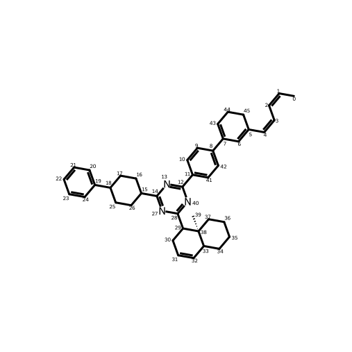 C/C=C\C=C/C1=CC(c2ccc(-c3nc(C4CCC(c5ccccc5)CC4)nc(C4CC=CC5CCCC[C@@]54C)n3)cc2)=CCC1